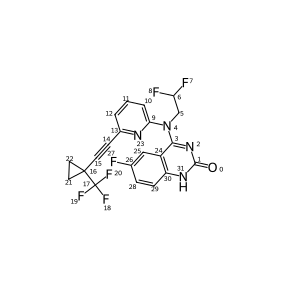 O=c1nc(N(CC(F)F)c2cccc(C#CC3(C(F)(F)F)CC3)n2)c2cc(F)ccc2[nH]1